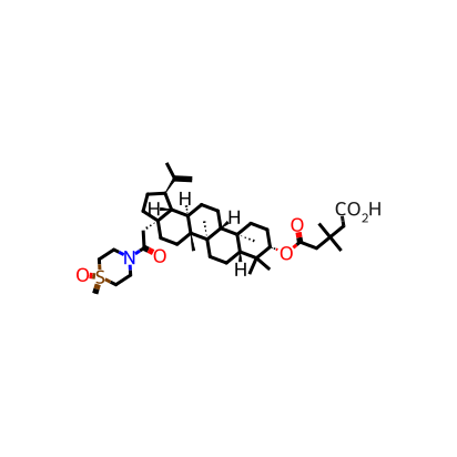 C=C(C)[C@@H]1CC[C@]2(CC(=O)N3CCS(=C)(=O)CC3)CC[C@]3(C)[C@H](CC[C@@H]4[C@@]5(C)CC[C@H](OC(=O)CC(C)(C)CC(=O)O)C(C)(C)[C@@H]5CC[C@]43C)[C@@H]12